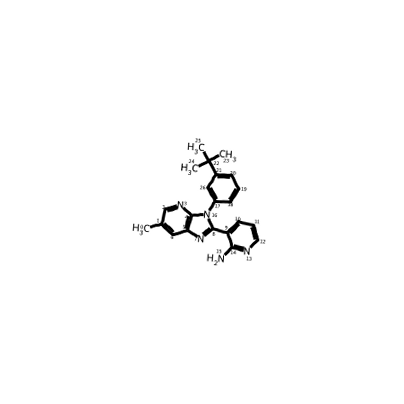 Cc1cnc2c(c1)nc(-c1cccnc1N)n2-c1cccc(C(C)(C)C)c1